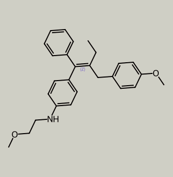 CC/C(Cc1ccc(OC)cc1)=C(\c1ccccc1)c1ccc(NCCOC)cc1